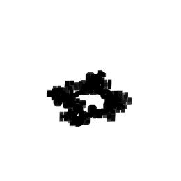 COc1cc2c(cc1OCCCCCOc1cc3c(cc1OC)C(=O)N1CC4(CC4)C[C@H]1[C@H](O)N3C(=O)OCc1ccc(NC(=O)[C@H](C)NC(=O)[C@@H](NC(=O)CCCCNC(=O)CCC(=O)N3Cc4ccccc4C4=C(c5ccccc53)N(C(C)C)NN4)C(C)C)cc1)NC[C@@H]1CC3(CC3)CN1C2=O